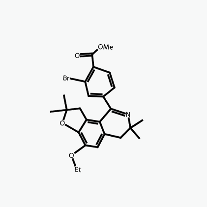 CCOc1cc2c(c3c1OC(C)(C)C3)C(c1ccc(C(=O)OC)c(Br)c1)=NC(C)(C)C2